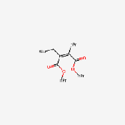 CCCOC(=O)C(CCC)=C(CC(C)(C)C)C(=O)OCCC